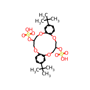 CC(C)(C)c1ccc2c(c1)OCC(OS(=O)(=O)O)COc1ccc(C(C)(C)C)cc1OCC(OS(=O)(=O)O)CO2